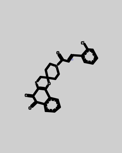 O=C1C(=O)c2ccccc2C2=C1SCC1(CCN(C(=O)/C=C/c3ccccc3Cl)CC1)O2